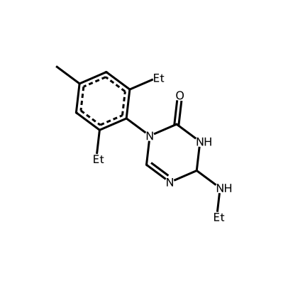 CCNC1N=CN(c2c(CC)cc(C)cc2CC)C(=O)N1